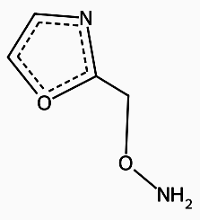 NOCc1ncco1